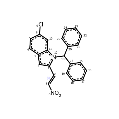 O=[N+]([O-])/C=C/c1cc2ccc(Cl)cc2n1C(c1ccccc1)c1ccccc1